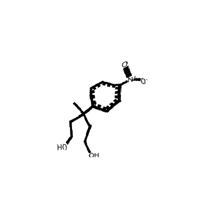 CC(CCO)(CCO)c1ccc([N+](=O)[O-])cc1